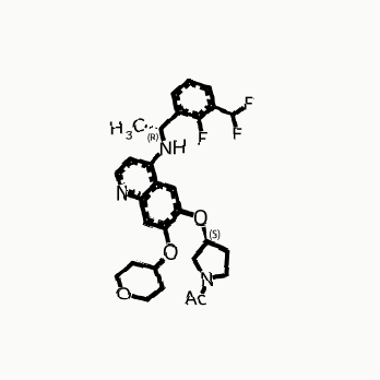 CC(=O)N1CC[C@H](Oc2cc3c(N[C@H](C)c4cccc(C(F)F)c4F)ccnc3cc2OC2CCOCC2)C1